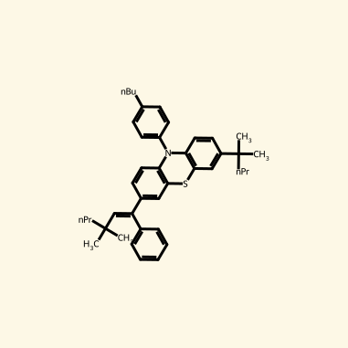 CCCCc1ccc(N2c3ccc(C(=CC(C)(C)CCC)c4ccccc4)cc3Sc3cc(C(C)(C)CCC)ccc32)cc1